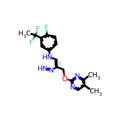 Cc1cnc(OC/C(=C/Nc2ccc(F)c(C(C)(F)F)c2)N=N)nc1C